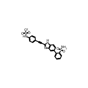 NS(=O)(=O)c1ccccc1-c1ccc2[nH]c(C#Cc3ccc(NS(=O)(=O)C(F)(F)F)cc3)nc2c1